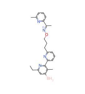 Bc1cc(CC)nc(-c2cccc(CCCO/N=C(\C)c3cccc(C)n3)n2)c1C